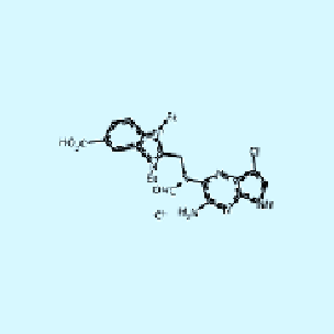 CCn1c(CN(C=O)c2nc3c(Cl)c[nH]c3nc2N)[n+](CC)c2ccc(C(=O)O)cc21.[Cl-]